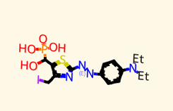 CCN(CC)c1ccc(/N=N/c2nc(CI)c(C(O)P(=O)(O)O)s2)cc1